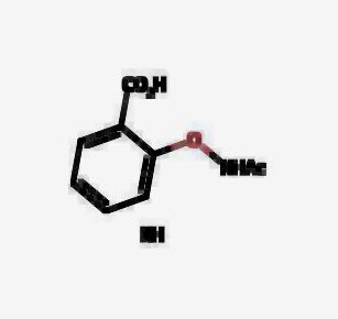 CC(=O)NOc1ccccc1C(=O)O.[KH]